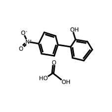 O=C(O)O.O=[N+]([O-])c1ccc(-c2ccccc2O)cc1